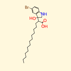 CCCCCCCCCCCCCCC(C(=O)O)C1(O)CNc2ccc(Br)cc21